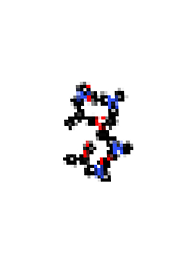 O=C(c1cccc(-c2ccc3c(c2)c2cc(-c4ccc5c(c4)c4ccccc4n5-c4cccc(-c5cc(-c6cc#ccc6)cc(-c6ccccc6)c5)c4)ccc2n3-c2ccccc2)c1)c1cccc(-c2ccc3c(c2)c2cc(-c4ccc5c(c4)c4ccccc4n5-c4cccc(-c5cc(-c6ccccc6)cc(-c6ccccc6)c5)c4)ccc2n3-c2ccccc2)c1